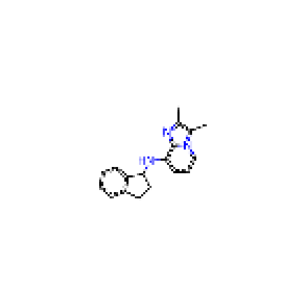 Cc1nc2c(NC3CCc4ccccc43)cccn2c1C